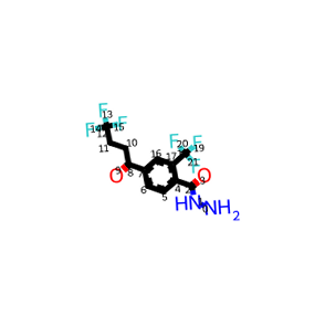 NNC(=O)c1ccc(C(=O)CCC(F)(F)F)cc1C(F)(F)F